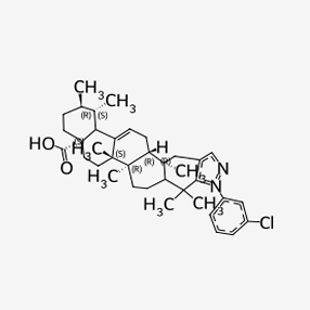 C[C@@H]1CC[C@]2(C(=O)O)CC[C@]3(C)C(=CC[C@@H]4[C@@]5(C)Cc6cnn(-c7cccc(Cl)c7)c6C(C)(C)C5CC[C@]43C)C2[C@H]1C